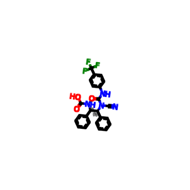 N#CN(C(=O)Nc1ccc(C(F)(F)F)cc1)[C@@H](c1ccccc1)[C@@H](NC(=O)O)c1ccccc1